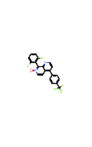 [O-][n+]1ccc2c(-c3ccc(C(F)(F)F)cc3)ccnc2c1-c1c(F)cccc1F